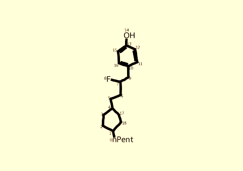 CCCCCC1CCC(CCC(F)Cc2ccc(O)cc2)CC1